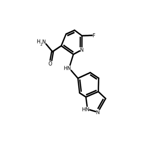 NC(=O)c1ccc(F)nc1Nc1ccc2cn[nH]c2c1